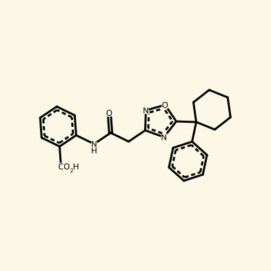 O=C(Cc1noc(C2(c3ccccc3)CCCCC2)n1)Nc1ccccc1C(=O)O